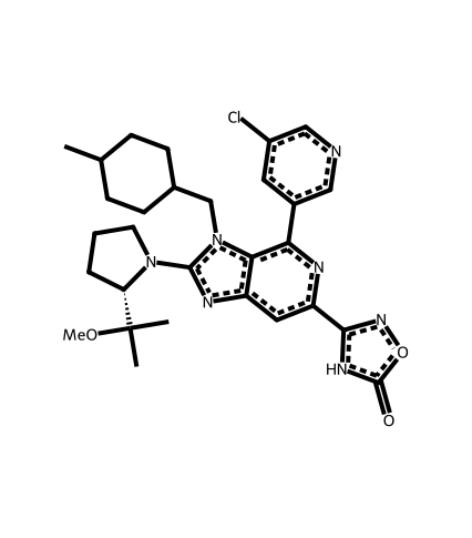 COC(C)(C)[C@@H]1CCCN1c1nc2cc(-c3noc(=O)[nH]3)nc(-c3cncc(Cl)c3)c2n1CC1CCC(C)CC1